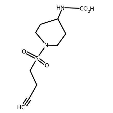 C#CCCS(=O)(=O)N1CCC(NC(=O)O)CC1